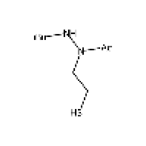 CCC(C)NN(CCS)C(C)=O